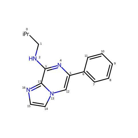 CC(C)CNc1nc(-c2ccccc2)cn2ccnc12